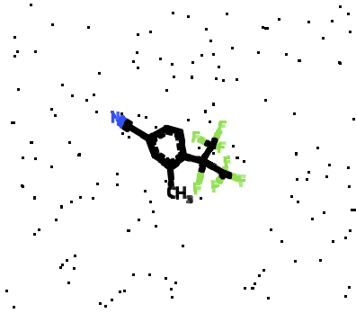 Cc1cc(C#N)ccc1C(F)(C(F)(F)F)C(F)(F)F